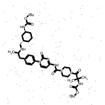 CC(Cc1ccc(-n2ccc(NC(=O)N3CCN(C(=O)C(C)(C)NC(=O)OC(C)(C)C)CC3)nc2=O)cc1)NC[C@H]1CCC[C@H](NC(=O)OC(C)(C)C)C1